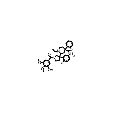 CCN1CCC(C(N)=O)(c2ccccc2)CC1C1(c2ccccc2F)CCN(C(=O)c2cc(OC)c(OC)c(OC)c2)C1